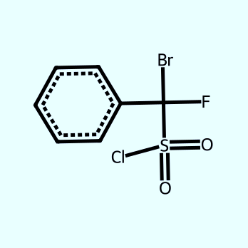 O=S(=O)(Cl)C(F)(Br)c1ccccc1